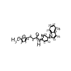 Cc1ccc(CCC(=O)Nc2ccc(-n3ccc4ccccc43)cn2)o1